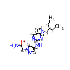 CCC(CC)Cn1ccc2cnc(Nc3cnn(CC(N)=O)c3)nc21